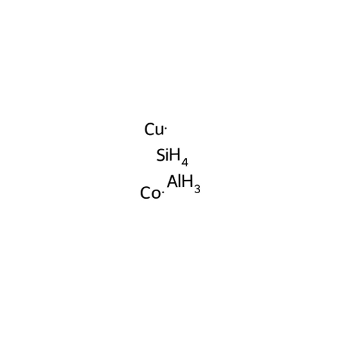 [AlH3].[Co].[Cu].[SiH4]